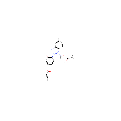 [CH2]C(OC(=O)C(=C)C)N1c2ccc(C(=O)O)cc2NN1c1ccc(OC(=O)C=CC)cc1O